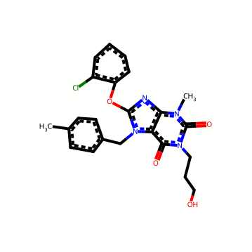 Cc1ccc(Cn2c(Oc3ccccc3Cl)nc3c2c(=O)n(CCCO)c(=O)n3C)cc1